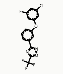 Fc1cc(Cl)cc(Oc2[c]ccc(-c3noc(C(F)(F)F)n3)c2)c1